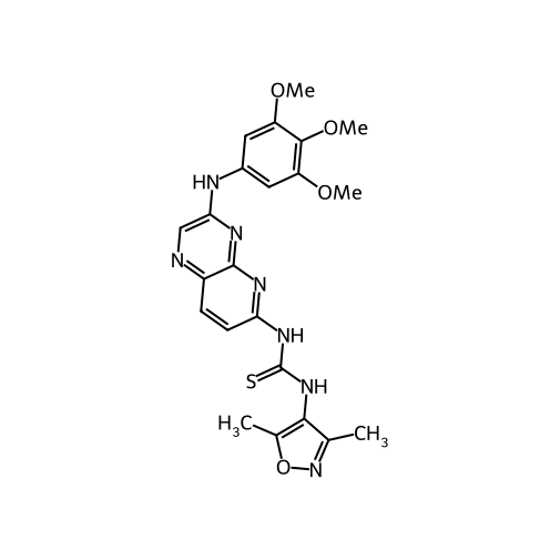 COc1cc(Nc2cnc3ccc(NC(=S)Nc4c(C)noc4C)nc3n2)cc(OC)c1OC